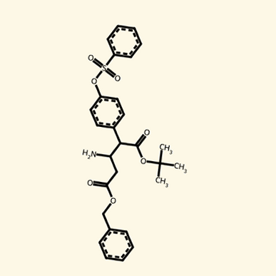 CC(C)(C)OC(=O)C(c1ccc(OS(=O)(=O)c2ccccc2)cc1)C(N)CC(=O)OCc1ccccc1